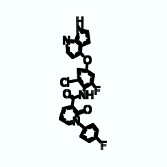 O=C(Nc1c(F)cc(Oc2ccnc3[nH]ccc23)cc1Cl)c1cccn(-c2ccc(F)cc2)c1=O